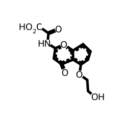 O=C(O)C(=O)Nc1cc(=O)c2c(OCCO)cccc2o1